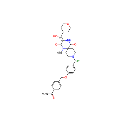 CCCCN1C(=O)[C@@H]([C@H](O)C2CCOCC2)NC(=O)C12CCN(Cc1ccc(OCc3ccc(C(=O)NC)cc3)cc1)CC2.Cl